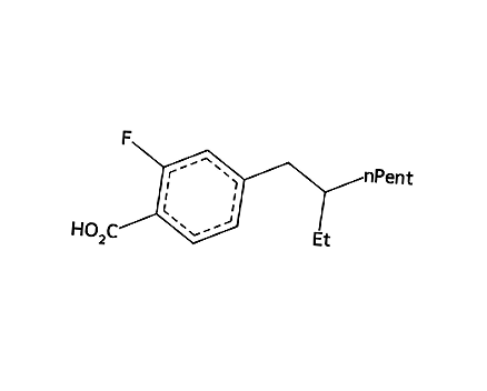 CCCCCC(CC)Cc1ccc(C(=O)O)c(F)c1